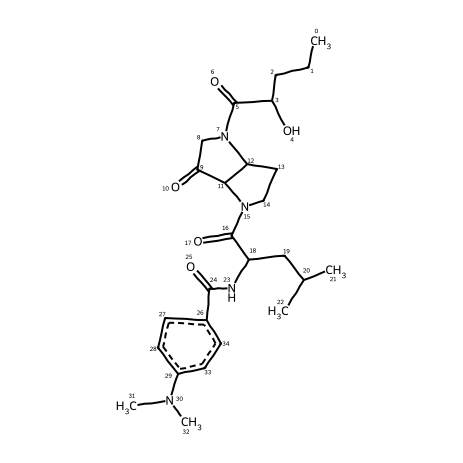 CCCC(O)C(=O)N1CC(=O)C2C1CCN2C(=O)C(CC(C)C)NC(=O)c1ccc(N(C)C)cc1